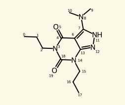 CCCn1c(=O)c2c(N(C)C)[nH]nc2n(CCC)c1=O